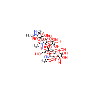 CC(=O)NC1C(O)[C@H](O[C@@H]2OC(CO)[C@H](O)C(O)C2O)C(CO)O[C@H]1OC(C)(C(O)[C@H](O)CCO)[C@H](O)OCC1[C@@H](O)C(O)C1(O)[C@@H](O)O[C@@H]1C(CO)O[C@@H](O[C@@H]2C(CO)O[C@@H](C)C(NC(C)=O)C2O)C(NC(C)=O)C1O